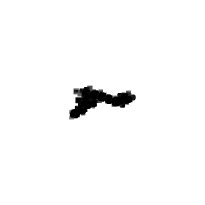 C=CC(=O)Nc1cc(Nc2nc(N3CCCC(N4CCc5c(sc6c5CCC(C)(C)C6)C4=O)C3CO)cnc2C(N)=O)ccc1N1CCN(C2CCN(c3ccc4c(c3)C(=O)N(C3CCC(=O)N(C)C3=O)C4=O)CC2)C[C@@H]1C